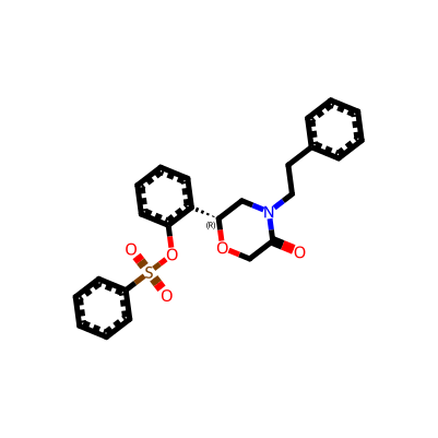 O=C1CO[C@H](c2ccccc2OS(=O)(=O)c2ccccc2)CN1CCc1ccccc1